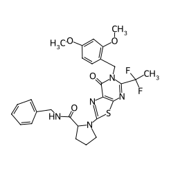 COc1ccc(Cn2c(C(C)(F)F)nc3sc(N4CCCC4C(=O)NCc4ccccc4)nc3c2=O)c(OC)c1